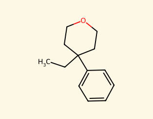 CCC1(c2ccccc2)CCOCC1